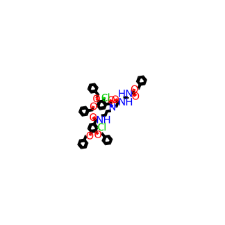 O=C(CN(CCCCNC(=O)c1ccc(OCc2ccccc2)c(OCc2ccccc2)c1Cl)C(=O)c1ccc(OCc2ccccc2)c(OCc2ccccc2)c1Cl)NCCNC(=O)OCc1ccccc1